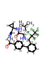 CC(=O)c1ccc(-c2ccccc2[C@H](N[C@@H](CC(C)C)C(=O)NC2(C#N)CC2)C(F)(F)C(F)(F)F)cc1